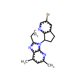 CCc1nc2c(C)cc(C)nc2n1C1CCc2cc(Br)cnc21